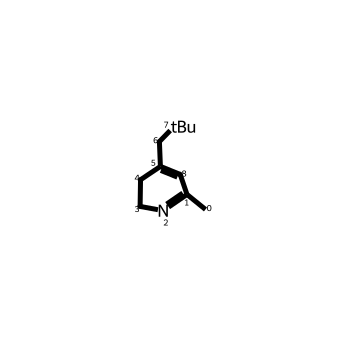 CC1=NCCC(CC(C)(C)C)=C1